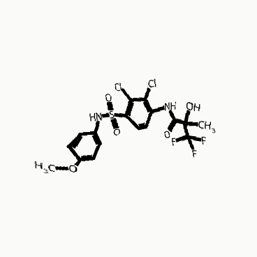 COc1ccc(NS(=O)(=O)c2ccc(NC(=O)C(C)(O)C(F)(F)F)c(Cl)c2Cl)cc1